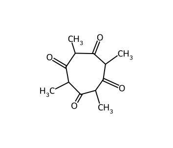 CC1C(=O)C(C)C(=O)C(C)C(=O)C(C)C1=O